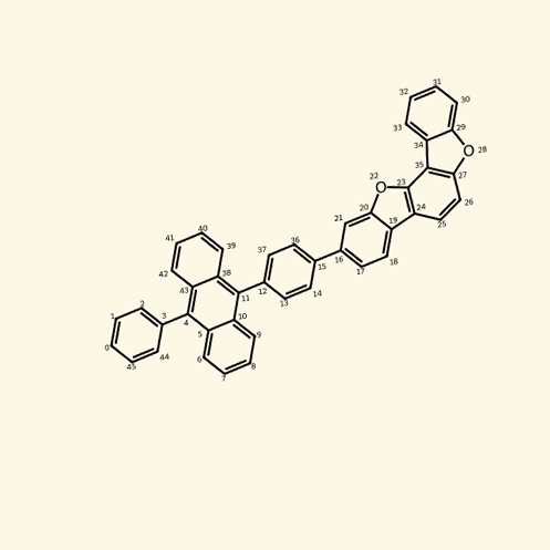 c1ccc(-c2c3ccccc3c(-c3ccc(-c4ccc5c(c4)oc4c5ccc5oc6ccccc6c54)cc3)c3ccccc23)cc1